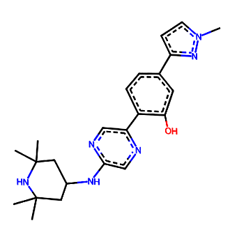 Cn1ccc(-c2ccc(-c3cnc(NC4CC(C)(C)NC(C)(C)C4)cn3)c(O)c2)n1